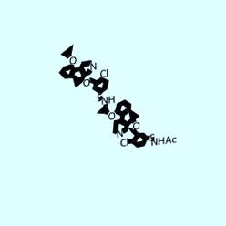 CC(=O)NSc1ccc(Cl)c(COC2(c3cnccc3-c3ccccc3OC3CC3NSc3ccc(Cl)c(COC4(c5cnccc5-c5ccccc5OC5CC5)CC4)c3)CC2)c1